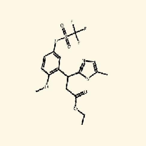 CCOC(=O)CC(c1ncc(C)s1)c1cc(OS(=O)(=O)C(F)(F)F)ccc1OC